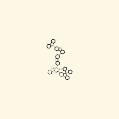 C1=CCCC(C2N=C(C3=CC4=C(CC3)c3ccccc3C4(c3ccccc3)c3ccccc3)NC(c3ccc4c(c3)oc3ccc(-c5cccc6sc7cc(-n8c9ccccc9c9ccccc98)ccc7c56)cc34)N2)=C1